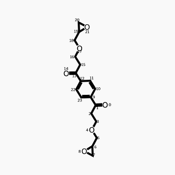 O=C(CCOCC1CO1)c1ccc(C(=O)CCOCC2CO2)cc1